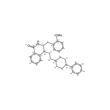 COc1ccccc1CC1NC(=O)c2ccccc2N1CCN1CCN(c2ccccc2)CC1